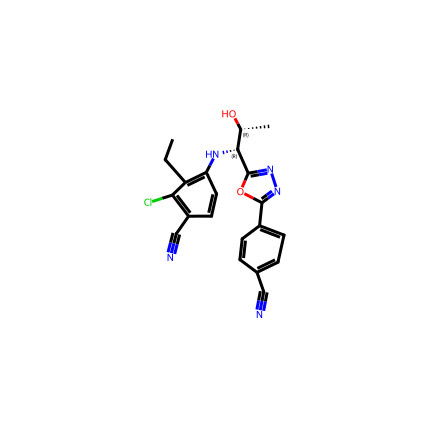 CCc1c(N[C@@H](c2nnc(-c3ccc(C#N)cc3)o2)[C@@H](C)O)ccc(C#N)c1Cl